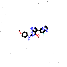 COc1nc(N[C@H]2CC[C@@H](OC)CC2)nc2[nH]cc(-c3cc(F)c4nccn4c3)c12